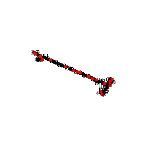 CC(C)(C)OC(=O)CC[C@H](NC(=O)CCOCCOCCOCCOCCOCCOCCOCCOCCOCCOCCOCCOCCNC(=O)CNC(=O)CNC(=O)c1cc(N2C(=O)C=CC2=O)ccc1CCC(=O)Oc1c(F)c(F)cc(F)c1F)C(=O)OC(C)(C)C